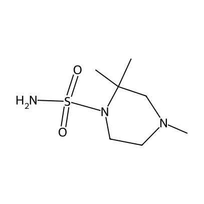 CN1CCN(S(N)(=O)=O)C(C)(C)C1